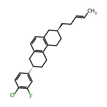 CC=CCC[C@H]1CCc2c(ccc3c2CC[C@H](c2ccc(Cl)c(F)c2)C3)C1